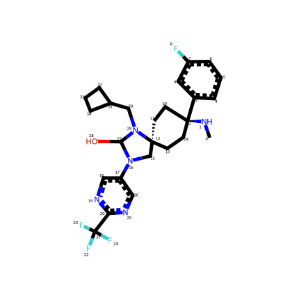 CN[C@]1(c2cccc(F)c2)CC[C@]2(CC1)CN(c1cnc(C(F)(F)F)nc1)C(O)N2CC1CCC1